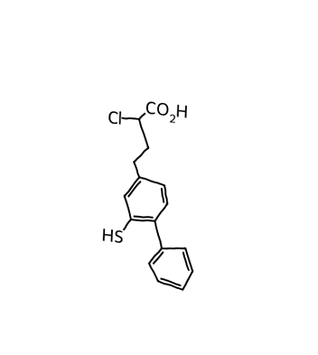 O=C(O)C(Cl)CCc1ccc(-c2ccccc2)c(S)c1